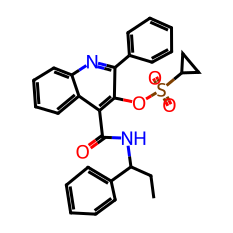 CCC(NC(=O)c1c(OS(=O)(=O)C2CC2)c(-c2ccccc2)nc2ccccc12)c1ccccc1